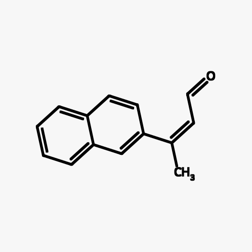 C/C(=C/C=O)c1ccc2ccccc2c1